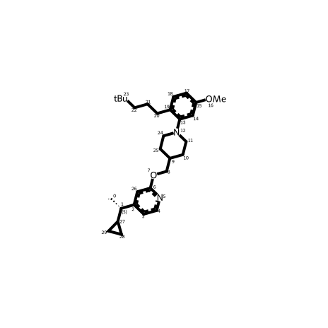 [CH2][C@H](c1ccnc(OCC2CCN(c3cc(OC)ccc3CCCC(C)(C)C)CC2)c1)C1CC1